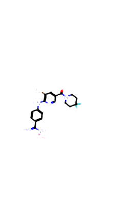 N=C(NO)c1ccc(Nc2ncc(C(=O)N3CCC(F)(F)CC3)cc2Br)cc1